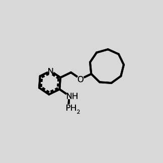 PNc1cccnc1COC1CCCCCCCC1